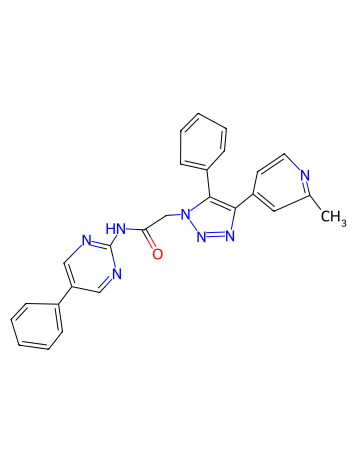 Cc1cc(-c2nnn(CC(=O)Nc3ncc(-c4ccccc4)cn3)c2-c2ccccc2)ccn1